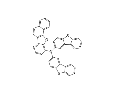 c1ccc2c(c1)ccc1c3nccc(N(c4ccc5sc6ccccc6c5c4)c4ccc5sc6ccccc6c5c4)c3oc21